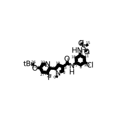 Cn1cc(C(=O)Nc2cc(Cl)cc(NS(C)(=O)=O)c2)cc1-c1ncc(OC(C)(C)C)cc1F